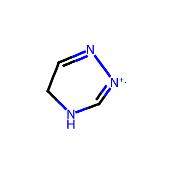 C1=N[N+]=CNC1